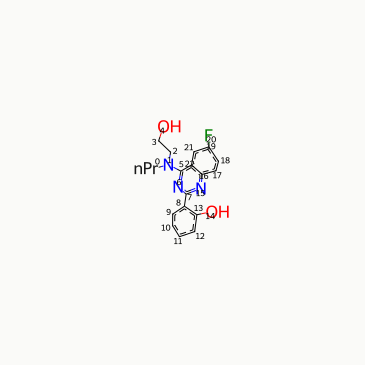 CCCN(CCO)c1nc(-c2ccccc2O)nc2ccc(F)cc12